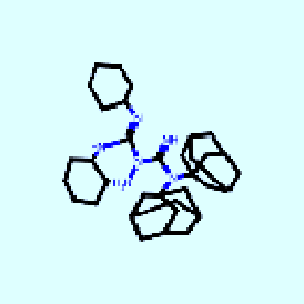 N=C(N(N)C(=NC1CCCCC1)NC1CCCCC1)N(C12CC3CC(CC(C3)C1)C2)C12CC3CC(CC(C3)C1)C2